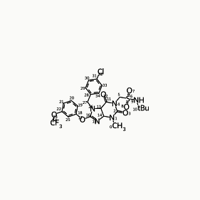 CN1C(=O)N(CS(=O)(=O)NC(C)(C)C)C(=O)C2C1N=C(Oc1cccc(OC(F)(F)F)c1)N2Cc1ccc(Cl)cc1